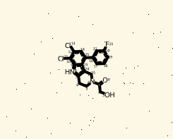 O=C(CO)N1CCc2[nH]c3c(Cl)c(Cl)cc(-c4cccc(F)c4)c3c2C1